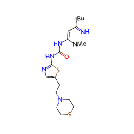 CN/C(=C\C(=N)C(C)(C)C)NC(=O)Nc1ncc(CCN2CCSCC2)s1